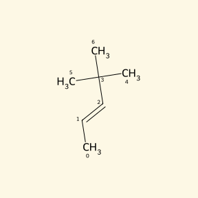 CC=CC(C)(C)C